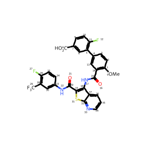 COc1ccc(-c2cc(C(=O)O)ccc2F)cc1C(=O)Nc1c(C(=O)Nc2ccc(F)c(C(F)(F)F)c2)sc2ncccc12